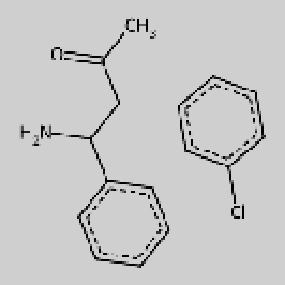 CC(=O)CC(N)c1ccccc1.Clc1ccccc1